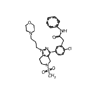 CS(=O)(=O)N1CCc2c(c(-c3ccc(Cl)c(CC(=O)Nc4ccccc4)c3)nn2CCCN2CCOCC2)C1